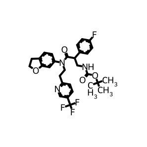 CC(C)(C)OC(=O)NCC(C(=O)N(CCc1ccc(C(F)(F)F)cn1)c1ccc2c(c1)OCC2)c1ccc(F)cc1